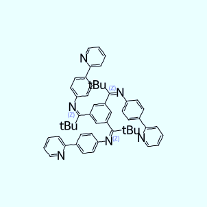 CC(C)(C)/C(=N/c1ccc(-c2ccccn2)cc1)c1cc(/C(=N\c2ccc(-c3ccccn3)cc2)C(C)(C)C)cc(/C(=N\c2ccc(-c3ccccn3)cc2)C(C)(C)C)c1